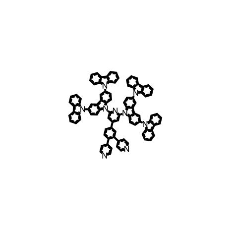 c1ccc2c(c1)c1ccccc1n2-c1ccc2c(c1)c1cc(-n3c4ccccc4c4ccccc43)ccc1n2-c1cc(-c2ccc(-c3ccncc3)c(-c3ccncc3)c2)cc(-n2c3ccc(-n4c5ccccc5c5ccccc54)cc3c3cc(-n4c5ccccc5c5ccccc54)ccc32)n1